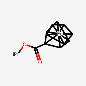 CC(C)OC(=O)[C]12[CH]3[CH]4[CH]5[CH]1[Fe]45321678[CH]2[CH]1[CH]6[CH]7[CH]28